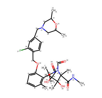 BC(B)(c1c(C)cccc1OCc1ccc(CN2CC(C)OC(C)C2)cc1F)N(C=O)C(B)(C(=O)NC)C(B)(O)C(B)(O)C=O